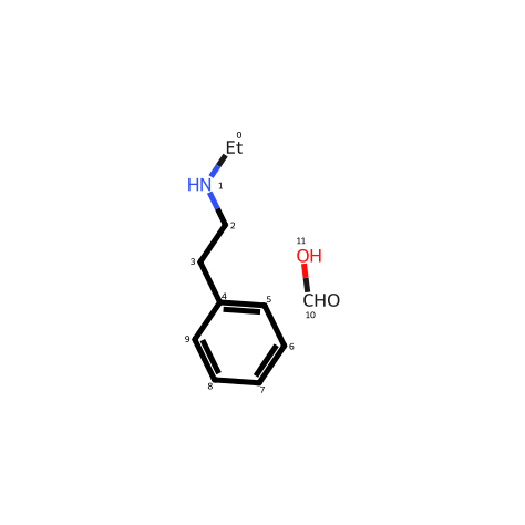 CCNCCc1ccccc1.O=CO